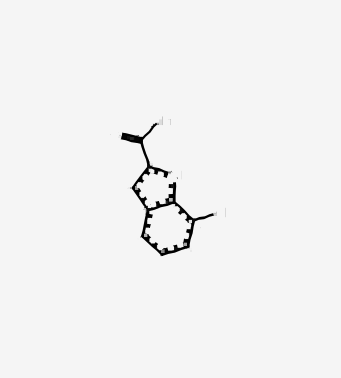 CC(C)C(=O)c1cc2cccc(Cl)c2[nH]1